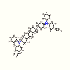 FC(F)(F)c1ccc(N(c2ccccc2)c2ccc(-c3ccc4c(c3)CC3=C4Cc4cc(N(c5ccccc5)c5ccc(C(F)(F)F)cc5)ccc43)cc2)cc1